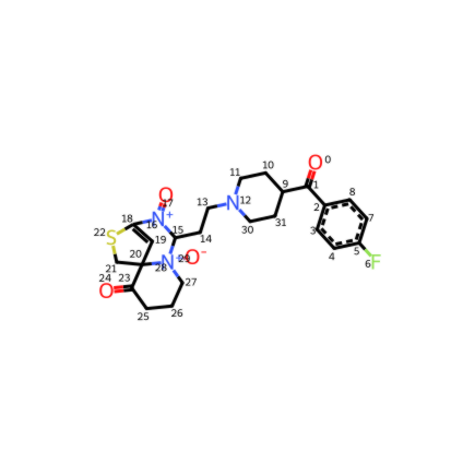 O=C(c1ccc(F)cc1)C1CCN(CCC2[N+](=O)C3=CC4(CS3)C(=O)CCC[N+]24[O-])CC1